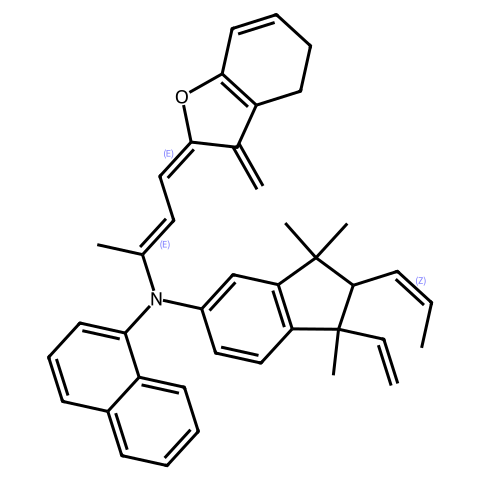 C=CC1(C)c2ccc(N(/C(C)=C/C=c3/oc4c(c3=C)CCC=C4)c3cccc4ccccc34)cc2C(C)(C)C1/C=C\C